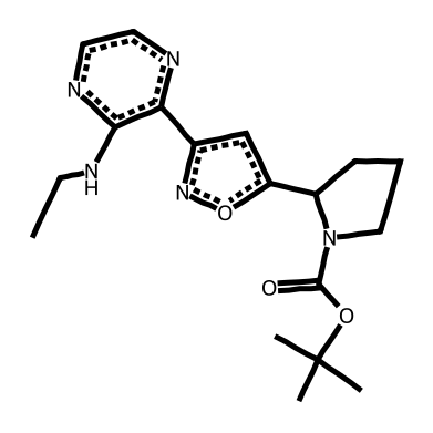 CCNc1nccnc1-c1cc(C2CCCN2C(=O)OC(C)(C)C)on1